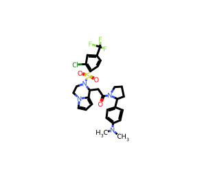 CN(C)c1ccc(C2CCCN2C(=O)CC2c3cccn3CCN2S(=O)(=O)c2ccc(C(F)(F)F)cc2Cl)cc1